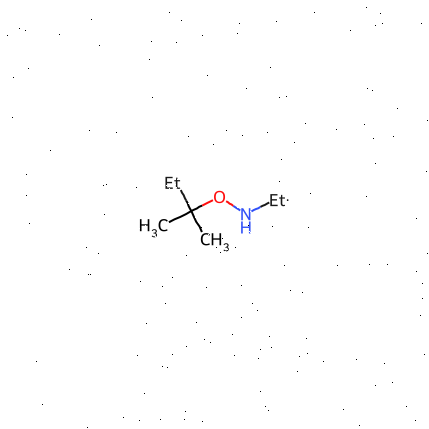 C[CH]NOC(C)(C)CC